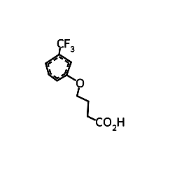 O=C(O)CCCOc1cccc(C(F)(F)F)c1